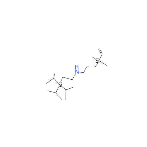 C=C[Si](C)(C)CCCNCC[Si](C(C)C)(C(C)C)C(C)C